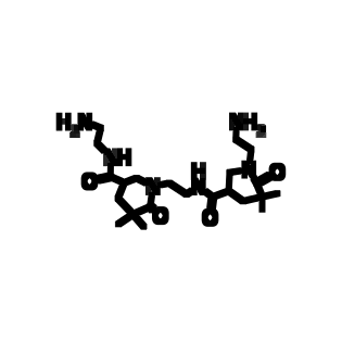 CC1(C)CC(C(=O)NCCN2CC(C(=O)NCCN)CC(C)(C)C2=O)CN(CCN)C1=O